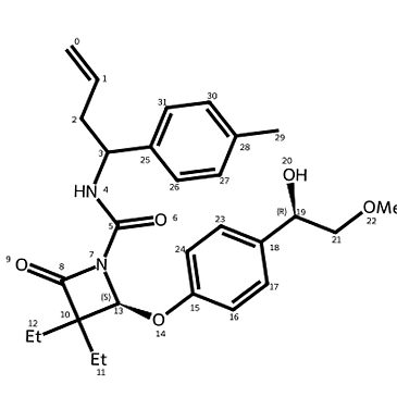 C=CCC(NC(=O)N1C(=O)C(CC)(CC)[C@@H]1Oc1ccc([C@@H](O)COC)cc1)c1ccc(C)cc1